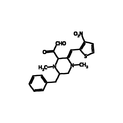 CN1CC(Cc2ccccc2)N(C)C(C(=O)C=O)C1=Cc1sccc1[N+](=O)[O-]